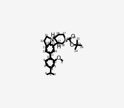 COc1cc(C(C)C)ccc1-c1cc2c3c(c1)[C@H]1CN(C(=O)OC(C)(C)C)CC[C@H]1N3CC2